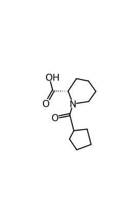 O=C(O)[C@@H]1CCCCN1C(=O)C1CCCC1